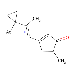 CC(=O)C1(/C(C)=C/C2=CC(=O)C(C)C2)CC1